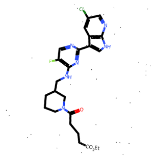 CCOC(=O)CCCC(=O)N1CCCC(CNc2nc(-c3c[nH]c4ncc(Cl)cc34)ncc2F)C1